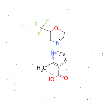 Cc1nc(N2CCOC(C(F)(F)F)C2)ccc1C(=O)O